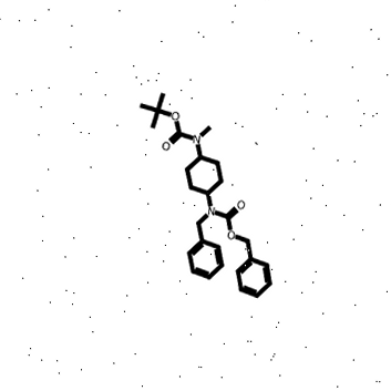 CN(C(=O)OC(C)(C)C)C1CCC(N(Cc2ccccc2)C(=O)OCc2ccccc2)CC1